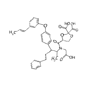 CC=Cc1cccc(Oc2ccc(C(CCc3ccccc3)C(C)N(CC(=O)O)C(=O)C3COC(C(=O)O)(C(=O)O)O3)cc2)c1